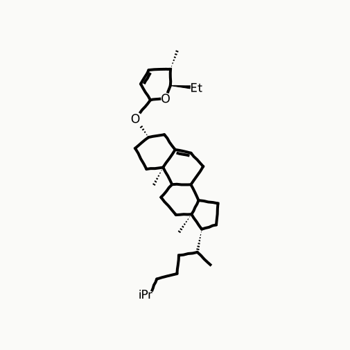 CC[C@H]1OC(O[C@H]2CC[C@@]3(C)C(=CCC4C3CC[C@@]3(C)C4CC[C@@H]3C(C)CCCC(C)C)C2)C=C[C@@H]1C